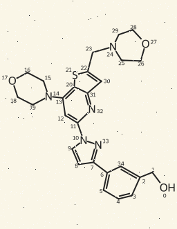 OCc1cccc(-c2ccn(-c3cc(N4CCOCC4)c4sc(CN5CCOCC5)cc4n3)n2)c1